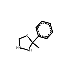 CC1(c2ccccc2)NN[CH]S1